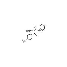 O=C(Nc1ccccc1)c1c[nH]c2cc(C(F)(F)F)ccc2c1=O